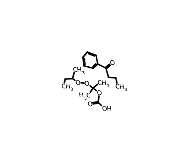 CCC(C)OOC(C)(C)OC(=O)O.CCCC(=O)c1ccccc1